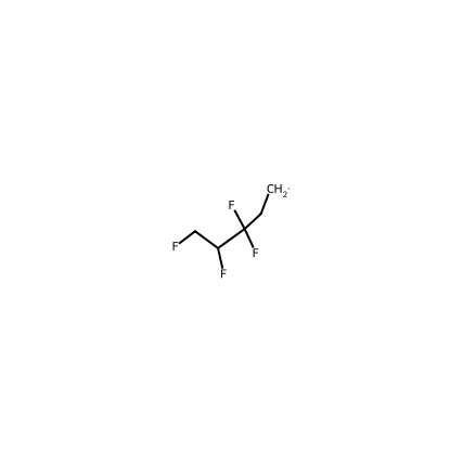 [CH2]CC(F)(F)C(F)CF